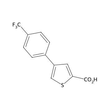 O=C(O)c1cc(-c2ccc(C(F)(F)F)cc2)cs1